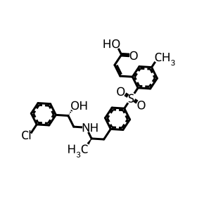 Cc1ccc(S(=O)(=O)c2ccc(C[C@@H](C)NC[C@@H](O)c3cccc(Cl)c3)cc2)c(/C=C\C(=O)O)c1